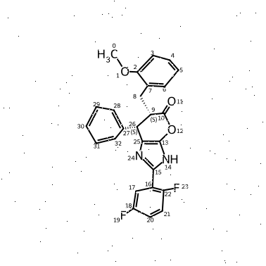 COc1ccccc1C[C@@H]1C(=O)Oc2[nH]c(-c3cc(F)ccc3F)nc2[C@@H]1c1ccccc1